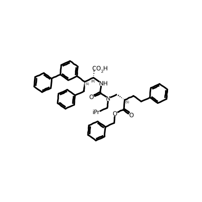 CC(C)CN(C[C@H](CCc1ccccc1)C(=O)OCc1ccccc1)C(=O)N[C@@H](C(=O)O)[C@@H](Cc1ccccc1)c1cccc(-c2ccccc2)c1